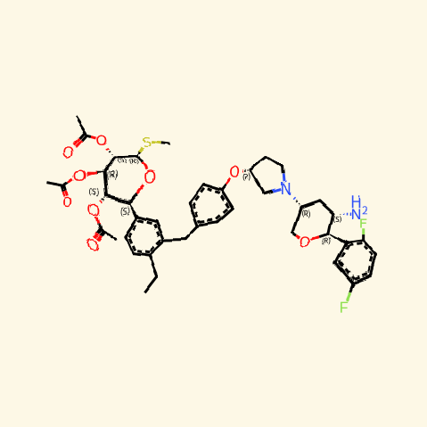 CCc1ccc([C@@H]2O[C@H](SC)[C@@H](OC(C)=O)[C@H](OC(C)=O)[C@H]2OC(C)=O)cc1Cc1ccc(O[C@@H]2CCN([C@H]3CO[C@H](c4cc(F)ccc4F)[C@@H](N)C3)C2)cc1